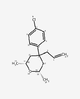 C=CCC1(c2ccc(Cl)cc2)C[C@@H](C)O[C@@H](C)C1